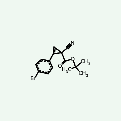 CC(C)(C)OC(=O)C1(C#N)C=C1c1ccc(Br)cc1